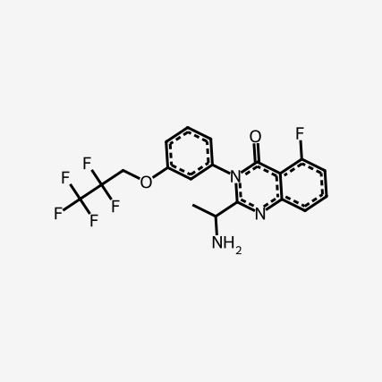 CC(N)c1nc2cccc(F)c2c(=O)n1-c1cccc(OCC(F)(F)C(F)(F)F)c1